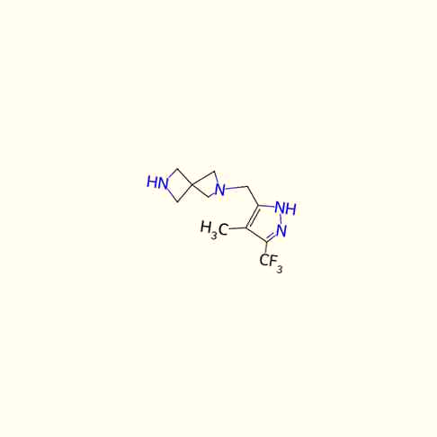 Cc1c(C(F)(F)F)n[nH]c1CN1CC2(CNC2)C1